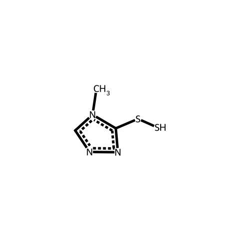 Cn1cnnc1SS